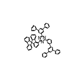 c1ccc(-c2cc(-c3ccccc3)cc(-c3cccc(-c4nc(-c5cc(-c6ccccc6)cc(-c6ccccc6)c5)nc(-c5cccc6c5-c5ccccc5C65c6ccccc6-c6ccccc65)n4)c3)c2)cc1